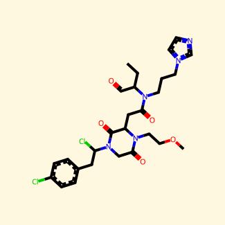 CCC(C=O)N(CCCn1ccnc1)C(=O)CC1C(=O)N(C(Cl)Cc2ccc(Cl)cc2)CC(=O)N1CCOC